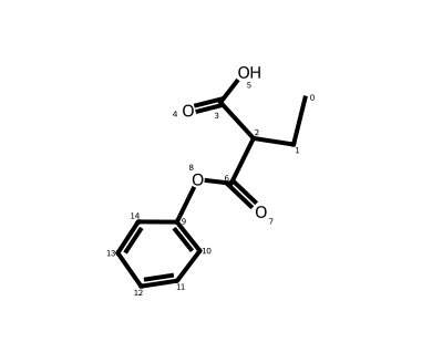 CCC(C(=O)O)C(=O)Oc1ccccc1